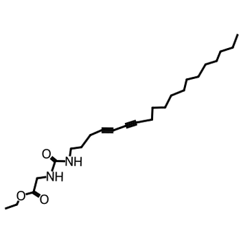 CCCCCCCCCCCCC#CC#CCCCNC(=O)NCC(=O)OCC